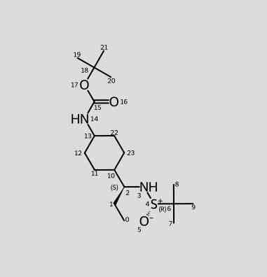 CC[C@H](N[S@@+]([O-])C(C)(C)C)C1CCC(NC(=O)OC(C)(C)C)CC1